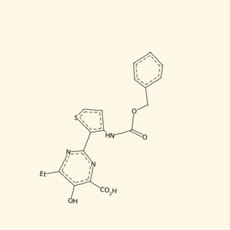 CCc1nc(-c2sccc2NC(=O)OCc2ccccc2)nc(C(=O)O)c1O